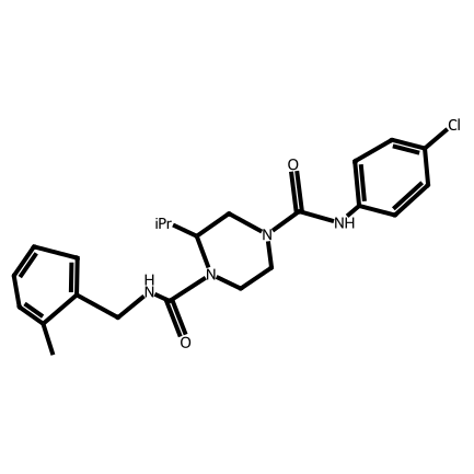 Cc1ccccc1CNC(=O)N1CCN(C(=O)Nc2ccc(Cl)cc2)CC1C(C)C